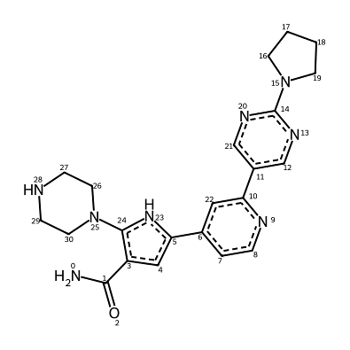 NC(=O)c1cc(-c2ccnc(-c3cnc(N4CCCC4)nc3)c2)[nH]c1N1CCNCC1